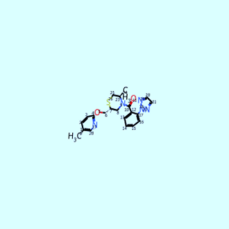 Cc1ccc(OC[C@H]2CN(C(=O)c3ccccc3-n3nccn3)[C@H](C)CS2)nc1